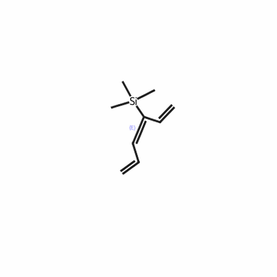 C=C/C=C(\C=C)[Si](C)(C)C